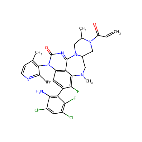 C=CC(=O)N1CC2CN(C)c3c(F)c(-c4c(N)c(Cl)cc(Cl)c4F)cc4c3c(nc(=O)n4-c3c(C)ccnc3C(C)C)N2CC1C